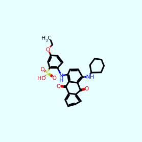 CCOc1ccc(Nc2ccc(NC3CCCCC3)c3c2C(=O)c2ccccc2C3=O)c(S(=O)(=O)O)c1